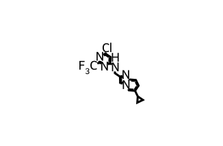 FC(F)(F)c1nc(Cl)cc(NCc2cn3cc(C4CC4)ccc3n2)n1